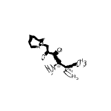 CC[C@H](C)[C@H](N)C(=O)C(=O)CN1C=CC=CC=N1